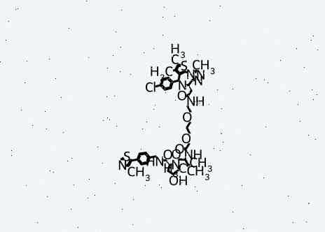 Cc1ncsc1-c1ccc(CNC(=O)[C@@H]2C[C@@H](O)CN2C(=O)[C@@H](NC(=O)COCCCOCCNC(=O)C[C@H]2N=C(c3ccc(Cl)cc3)c3c(sc(C)c3C)-n3c(C)nnc32)C(C)(C)C)cc1